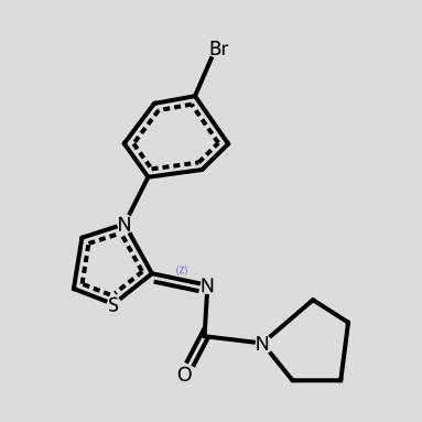 O=C(/N=c1\sccn1-c1ccc(Br)cc1)N1CCCC1